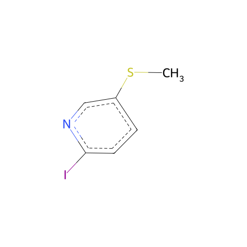 CSc1ccc(I)nc1